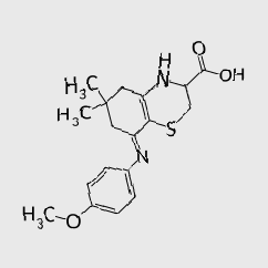 COc1ccc(N=C2CC(C)(C)CC3=C2SCC(C(=O)O)N3)cc1